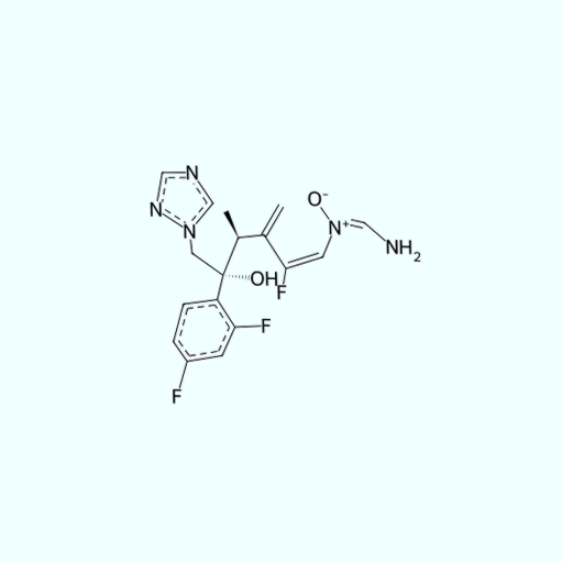 C=C(/C(F)=C\[N+]([O-])=C/N)[C@H](C)[C@](O)(Cn1cncn1)c1ccc(F)cc1F